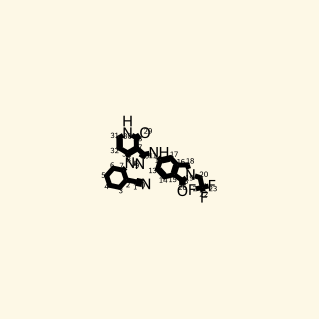 N#CC1CCCCC1n1nc(Nc2ccc3c(c2)CN(CC(F)(F)F)C3=O)c2c(=O)[nH]ccc21